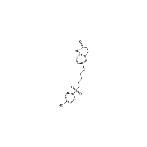 O=C1CCc2cc(OCCCCS(=O)(=O)c3ccc(O)cc3)ccc2N1